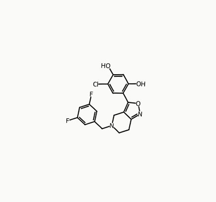 Oc1cc(O)c(-c2onc3c2CN(Cc2cc(F)cc(F)c2)CC3)cc1Cl